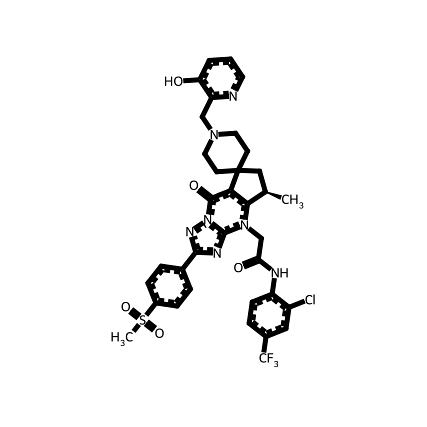 C[C@@H]1CC2(CCN(Cc3ncccc3O)CC2)c2c1n(CC(=O)Nc1ccc(C(F)(F)F)cc1Cl)c1nc(-c3ccc(S(C)(=O)=O)cc3)nn1c2=O